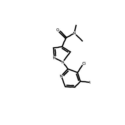 CN(C)C(=O)c1cnn(-c2nccc(I)c2Cl)c1